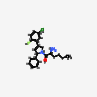 CCCC[C@H](N)C(=O)N1CC(c2cc(Cl)ccc2F)=CC1c1ccccc1